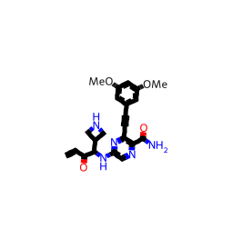 C=CC(=O)C(Nc1cnc(C(N)=O)c(C#Cc2cc(OC)cc(OC)c2)n1)C1CNC1